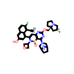 C#Cc1c(F)ccc2cc(O)cc(C3=Cc4nc(OC[C@@]56CCCN5C[C@H](F)C6)nc(N5CC6CCC(C5)N6)c4[S+]([O-])N3C3COC3)c12